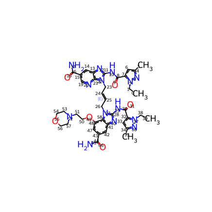 CCn1nc(C)cc1C(=O)Nc1nc2cc(C(N)=O)cnc2n1C/C=C/Cn1c(NC(=O)c2cc(C)nn2CC)nc2cc(C(N)=O)cc(OCCN3CCOCC3)c21